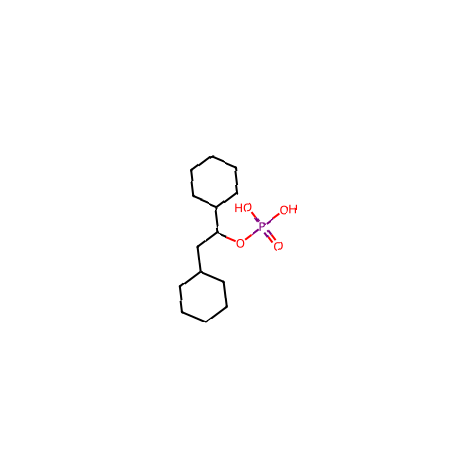 O=P(O)(O)OC(CC1CCCCC1)C1CCCCC1